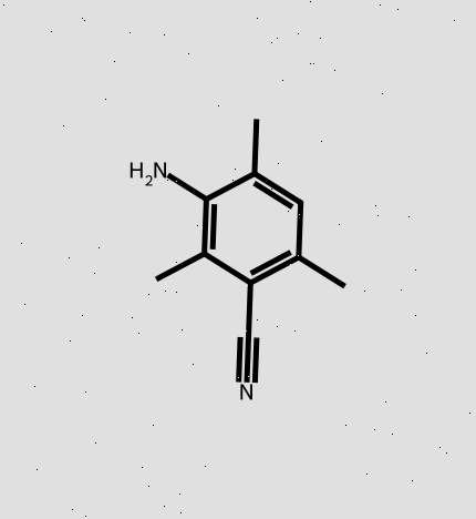 Cc1cc(C)c(C#N)c(C)c1N